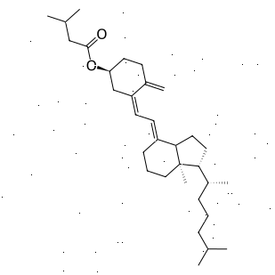 C=C1CC[C@H](OC(=O)CC(C)C)C/C1=C/C=C1\CCC[C@@]2(C)C1CC[C@@H]2[C@H](C)CCCC(C)C